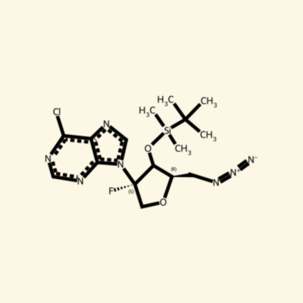 CC(C)(C)[Si](C)(C)OC1[C@@H](CN=[N+]=[N-])OC[C@@]1(F)n1cnc2c(Cl)ncnc21